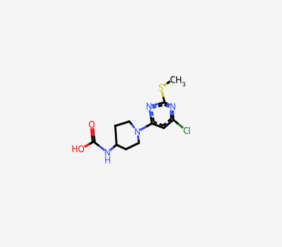 CSc1nc(Cl)cc(N2CCC(NC(=O)O)CC2)n1